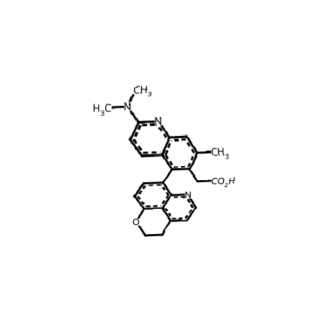 Cc1cc2nc(N(C)C)ccc2c(-c2ccc3c4c(ccnc24)CCO3)c1CC(=O)O